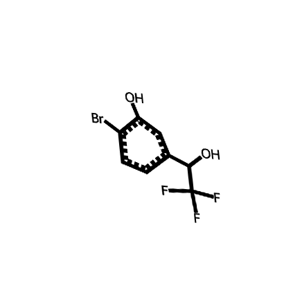 Oc1cc(C(O)C(F)(F)F)ccc1Br